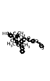 Cc1c(N(C(=O)c2cc(-c3cc4c(cc3C(=O)N3Cc5ccccc5C[C@H]3C)CN(C(=O)Cc3ccc(OCCN5CCSCC5)cc3)CC4)n(C)c2C)c2ccc(O)cc2)cc(C#N)n1C